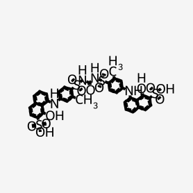 Cc1cc(Nc2cccc3ccc(S(=O)(=O)O)c(O)c23)ccc1S(=O)(=O)NC(=O)NS(=O)(=O)c1ccc(Nc2cccc3ccc(S(=O)(=O)O)c(O)c23)cc1C